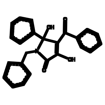 O=C(C1=C(O)C(=O)N(Cc2ccccc2)C1(O)c1ccccc1)c1ccccc1